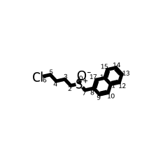 [O-][S+](CCCCCl)Cc1ccc2ccccc2c1